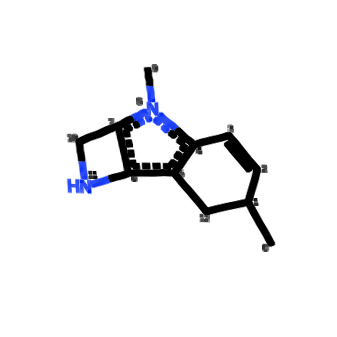 CC1C=Cc2c(c3c(n2C)CN3)C1